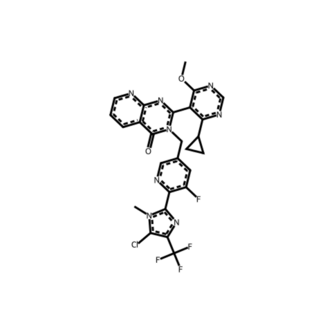 COc1ncnc(C2CC2)c1-c1nc2ncccc2c(=O)n1Cc1cnc(-c2nc(C(F)(F)F)c(Cl)n2C)c(F)c1